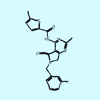 Cc1nc2c(c(NC(=O)c3ccc(C)s3)n1)C(=O)N(Cc1cccc(I)c1)C2